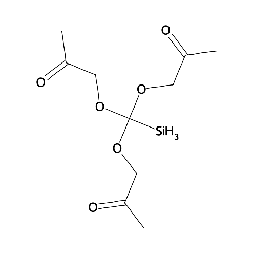 CC(=O)COC([SiH3])(OCC(C)=O)OCC(C)=O